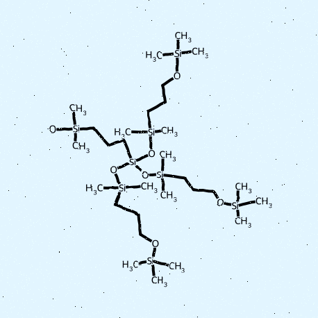 C[Si](C)([O])CCC[Si](O[Si](C)(C)CCCO[Si](C)(C)C)(O[Si](C)(C)CCCO[Si](C)(C)C)O[Si](C)(C)CCCO[Si](C)(C)C